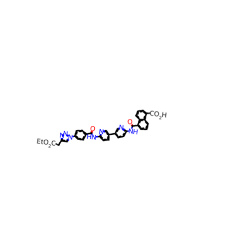 CCOC(=O)Cc1cn(-c2ccc(C(=O)Nc3ccc(-c4ccc(NC(=O)c5cccc6c(C(=O)O)cccc56)nc4)cn3)cc2)nn1